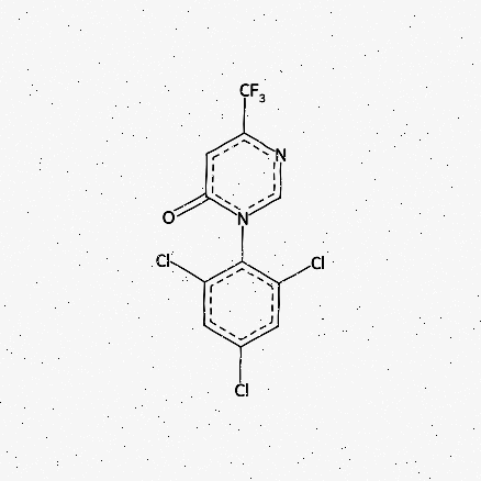 O=c1cc(C(F)(F)F)ncn1-c1c(Cl)cc(Cl)cc1Cl